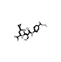 CC(=O)c1ccc(NC(=O)/C(C=N)=C2/NC(C(F)F)=CC(=C3CC3)N2)cc1